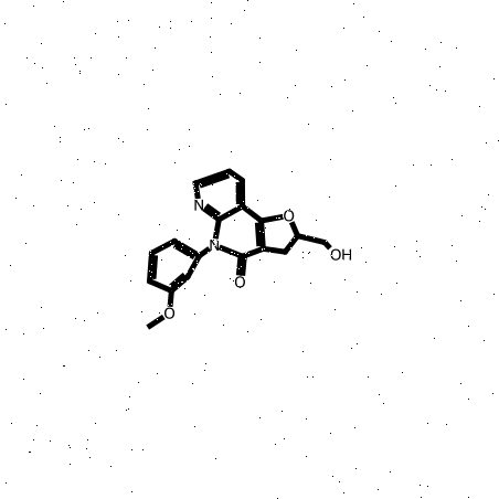 COc1cccc(-n2c(=O)c3c(c4cccnc42)OC(CO)C3)c1